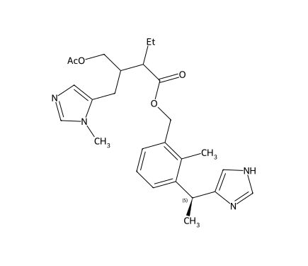 CCC(C(=O)OCc1cccc([C@H](C)c2c[nH]cn2)c1C)C(COC(C)=O)Cc1cncn1C